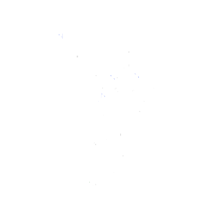 C=C1NC(=O)N(CCCCN(C)C)C1(N)c1ccc(-c2ccc(Cl)cc2)o1.Cl